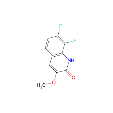 COc1cc2ccc(F)c(F)c2[nH]c1=O